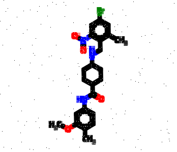 COc1cc(NC(=O)C2CCC(NCc3c(C)cc(Br)cc3[N+](=O)[O-])CC2)ccc1C